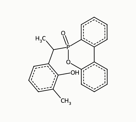 Cc1cccc(C(C)P2(=O)Oc3ccccc3-c3ccccc32)c1O